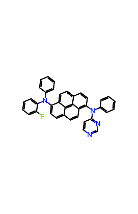 Fc1ccccc1N(c1ccccc1)c1ccc2ccc3c(N(c4ccccc4)c4ccncn4)ccc4ccc1c2c43